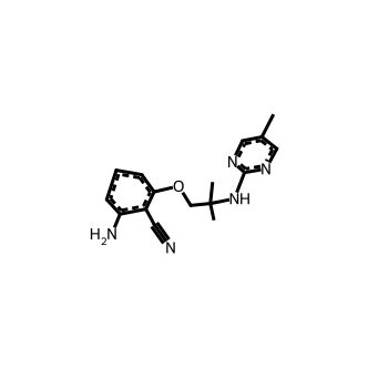 Cc1cnc(NC(C)(C)COc2cccc(N)c2C#N)nc1